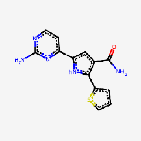 NC(=O)c1cc(-c2ccnc(N)n2)[nH]c1-c1cccs1